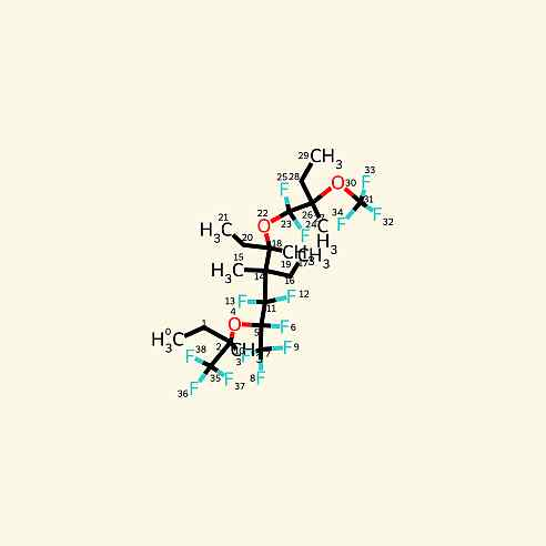 CCC(C)(OC(F)(C(F)(F)F)C(F)(F)C(C)(CC)C(C)(CC)OC(F)(F)C(C)(CC)OC(F)(F)F)C(F)(F)F